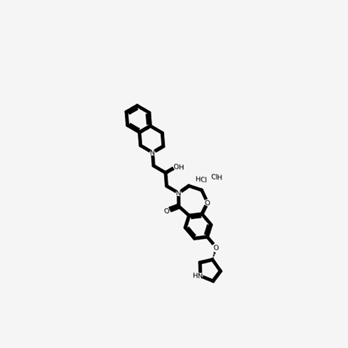 Cl.Cl.O=C1c2ccc(O[C@@H]3CCNC3)cc2OCCN1CC(O)CN1CCc2ccccc2C1